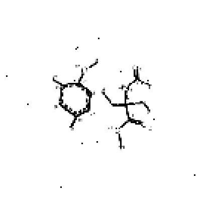 CCC(CC)(NC(C)=O)C(=O)OC.COc1ccc(C)cc1C